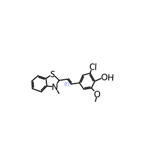 COc1cc(/C=C/C2Sc3ccccc3N2C)cc(Cl)c1O